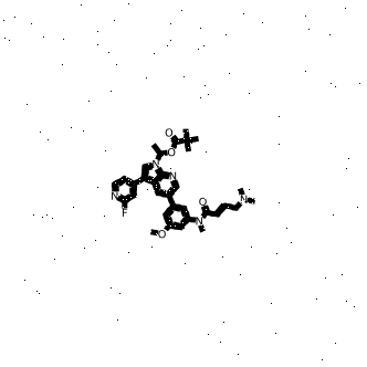 COc1cc(-c2cnc3c(c2)c(-c2ccnc(F)c2)cn3C(C)OC(=O)C(C)(C)C)cc(N(C)C(=O)C=CCN(C)C)c1